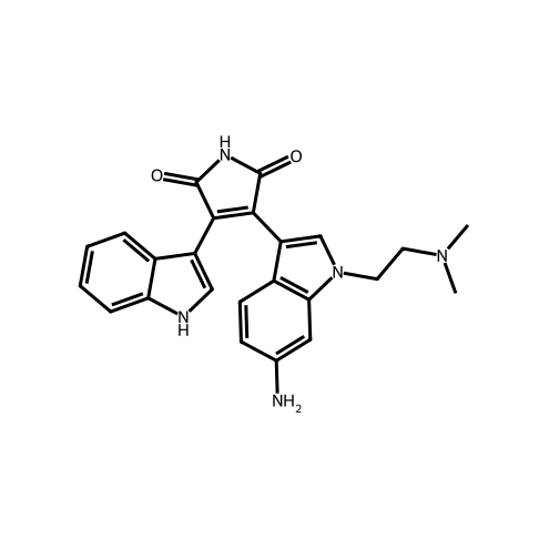 CN(C)CCn1cc(C2=C(c3c[nH]c4ccccc34)C(=O)NC2=O)c2ccc(N)cc21